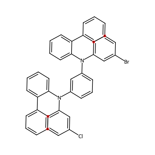 Clc1cccc(N(c2cccc(N(c3cccc(Br)c3)c3ccccc3-c3ccccc3)c2)c2ccccc2-c2ccccc2)c1